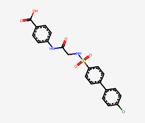 O=C(CNS(=O)(=O)c1ccc(-c2ccc(Cl)cc2)cc1)Nc1ccc(C(=O)O)cc1